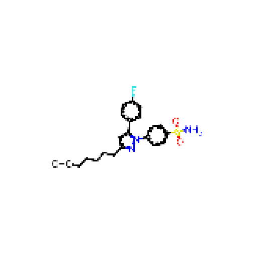 NS(=O)(=O)c1ccc(-n2nc(CCCCCC=O)cc2-c2ccc(F)cc2)cc1